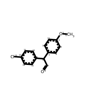 COc1ccc(C(C=O)c2ccc(Cl)cc2)cc1